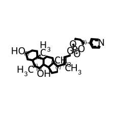 C[C@H](CCO[P@]1(=O)OCC[C@H](c2ccncc2)O1)[C@H]1CCC2C3C(CC[C@@]21C)[C@@]1(C)CC[C@@H](O)CC1[C@@H](C)[C@H]3O